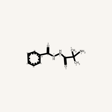 CC(C)(N)C(=O)NNC(=O)c1ccccc1